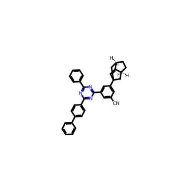 N#Cc1cc(-c2nc(-c3ccccc3)nc(-c3ccc(-c4ccccc4)cc3)n2)cc(C23C=C4[C@H](CC[C@H]4C2)C3)c1